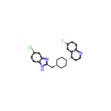 Fc1ccc2nccc([C@H]3CC[C@H](Cc4nc5cc(Cl)ccc5[nH]4)CC3)c2c1